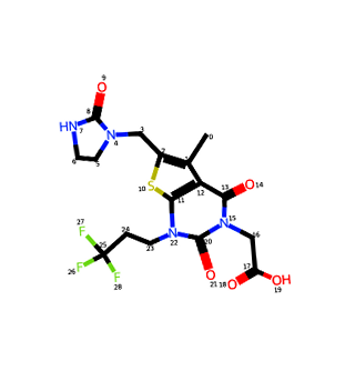 Cc1c(CN2CCNC2=O)sc2c1c(=O)n(CC(=O)O)c(=O)n2CCC(F)(F)F